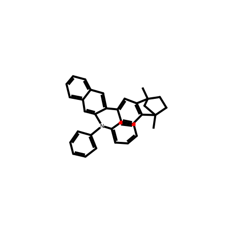 CC12CCC(C)(C1)c1cc(-c3cc4ccccc4cc3N(c3ccccc3)c3ccccc3)ccc12